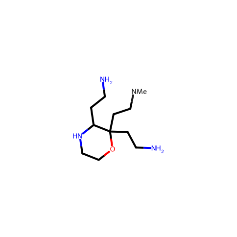 CNCCC1(CCN)OCCNC1CCN